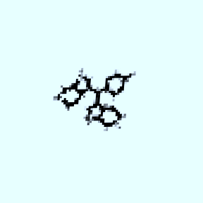 Cc1ccc(C(c2c[nH]c3cnccc23)c2c[nH]c3cnccc23)cc1